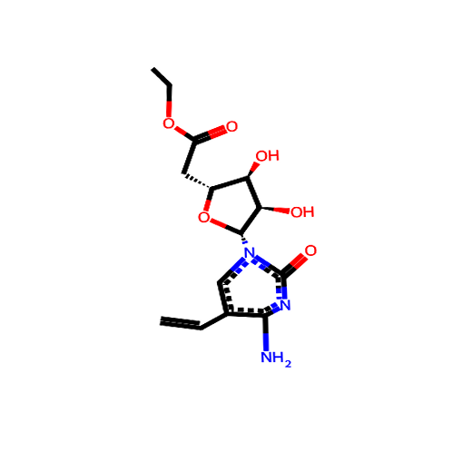 C=Cc1cn([C@@H]2O[C@H](CC(=O)OCC)[C@@H](O)[C@H]2O)c(=O)nc1N